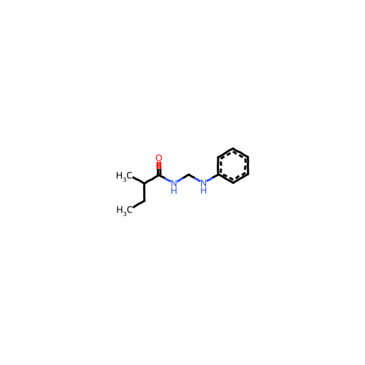 CCC(C)C(=O)NCNc1ccccc1